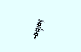 CC(=O)c1ccc(S(=O)(=O)N2CCN(c3ccc(C#N)cc3)CC2C)cc1